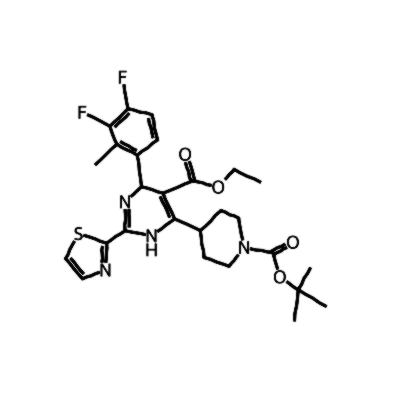 CCOC(=O)C1=C(C2CCN(C(=O)OC(C)(C)C)CC2)NC(c2nccs2)=NC1c1ccc(F)c(F)c1C